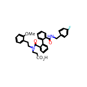 COc1ccccc1CCN(CCC(=O)O)C(=O)c1ccccc1-c1ccccc1C(=O)NCc1ccc(F)cc1